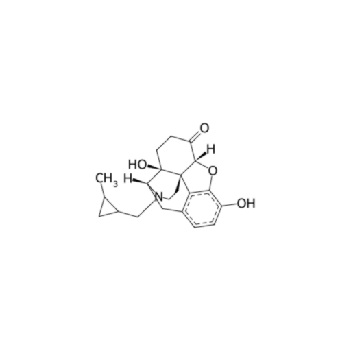 CC1CC1CN1CC[C@]23c4c5ccc(O)c4O[C@H]2C(=O)CC[C@@]3(O)[C@H]1C5